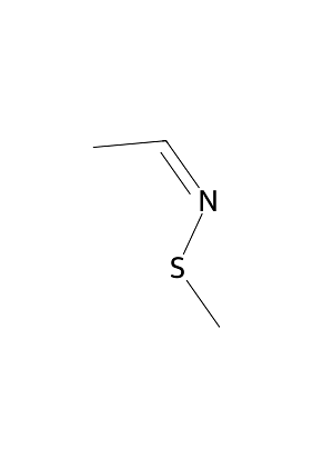 C/C=N\SC